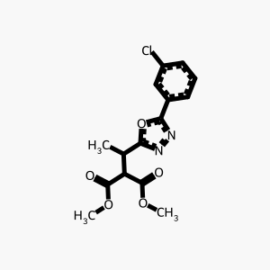 COC(=O)C(C(=O)OC)C(C)c1nnc(-c2cccc(Cl)c2)o1